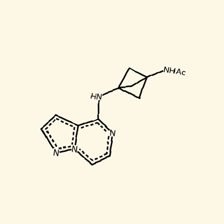 CC(=O)NC12CC(Nc3nccn4nccc34)(C1)C2